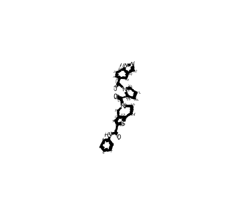 O=C(Nc1ccccc1)c1cc2c(s1)CCN(C(=O)[C@@H]1CCCN1C(=O)c1ccc3[nH]ncc3c1)C2